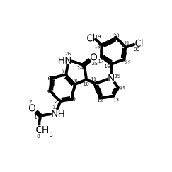 CC(=O)Nc1ccc2c(c1)C(c1cccn1-c1cc(Cl)cc(Cl)c1)C(=O)N2